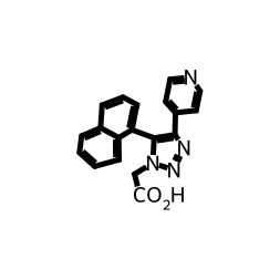 O=C(O)Cn1nnc(-c2ccncc2)c1-c1cccc2ccccc12